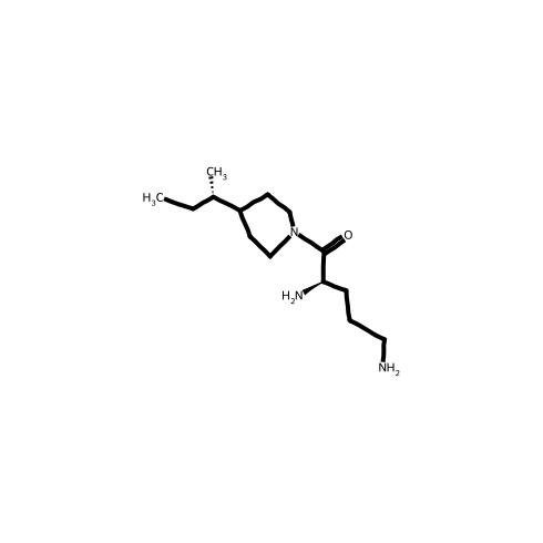 CC[C@H](C)C1CCN(C(=O)[C@H](N)CCCN)CC1